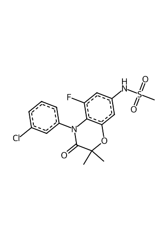 CC1(C)Oc2cc(NS(C)(=O)=O)cc(F)c2N(c2cccc(Cl)c2)C1=O